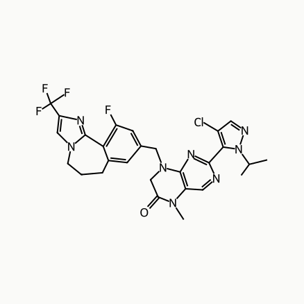 CC(C)n1ncc(Cl)c1-c1ncc2c(n1)N(Cc1cc(F)c3c(c1)CCCn1cc(C(F)(F)F)nc1-3)CC(=O)N2C